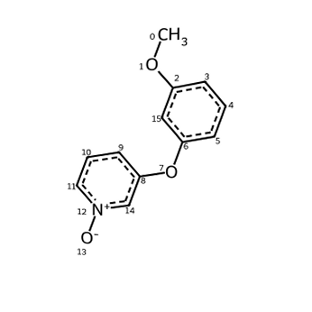 COc1cccc(Oc2ccc[n+]([O-])c2)c1